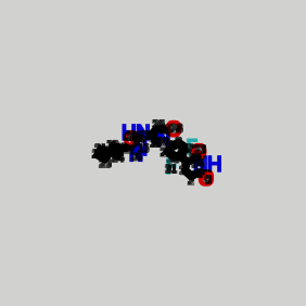 O=C1CCC(c2c(F)cc(N3C[C@H](Nc4nnc(C5CC6(CCC6)C5)o4)CC3=O)cc2F)C(=O)N1